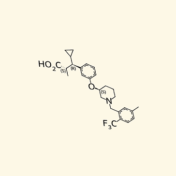 Cc1ccc(C(F)(F)F)c(CN2CCC[C@H](Oc3cccc([C@H](C4CC4)[C@H](C)C(=O)O)c3)C2)c1